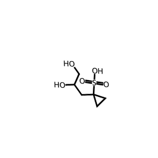 O=S(=O)(O)C1(CC(O)CO)CC1